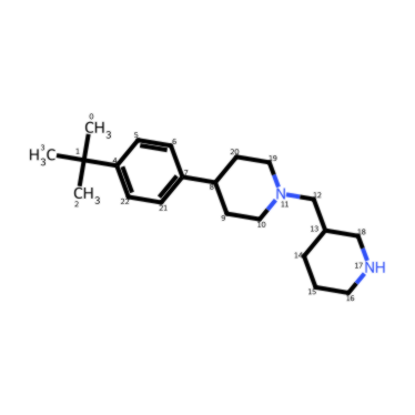 CC(C)(C)c1ccc(C2CCN(CC3CCCNC3)CC2)cc1